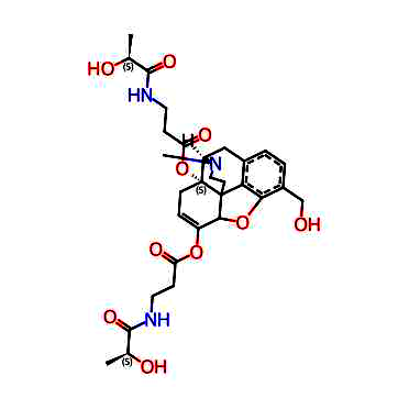 C[C@H](O)C(=O)NCCC(=O)OC1=CC[C@@]2(OC(=O)CCNC(=O)[C@H](C)O)[C@H]3Cc4ccc(CO)c5c4C2(CCN3C)C1O5